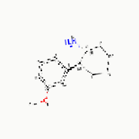 COc1cccc([C@@H]2CCCC[C@H]2N)c1